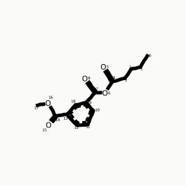 CCCCC(=O)OC(=O)c1cccc(C(=O)OC)c1